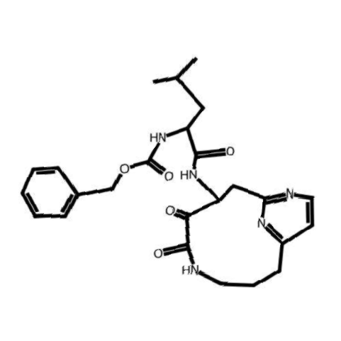 CC(C)CC(NC(=O)OCc1ccccc1)C(=O)NC1Cc2nccc(n2)CCCNC(=O)C1=O